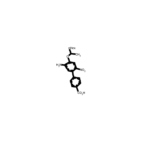 CCCCCCC(C)Oc1cc([N+](=O)[O-])c(-c2ccc(C(=O)O)cc2)cc1N